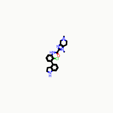 CN1CCc2c(nc(C(=O)Nc3cccc(-c4cccc5c4CCN5)c3Cl)n2C)C1